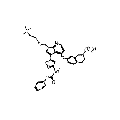 C[Si](C)(C)CCOCn1cc(-c2cc(NC(=O)Oc3ccccc3)no2)c2c(Oc3ccc4c(c3)CN(C(=O)O)CC4)ccnc21